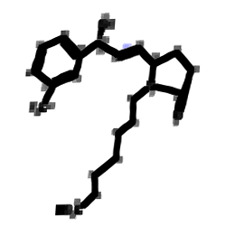 O=C(O)CCCCCCN1C(=O)CCC1/C=C/[C@@H](O)c1cccc(C(F)(F)F)c1